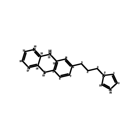 c1cn(CCCc2ccc3c(c2)Nc2nccnc2S3)cn1